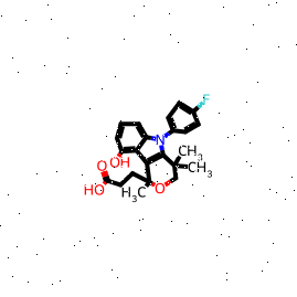 CC1(C)COC(C)(CCC(=O)O)c2c1n(-c1ccc(F)cc1)c1cccc(O)c21